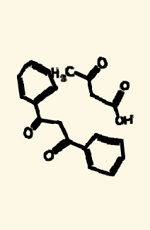 CC(=O)CC(=O)O.O=C(CC(=O)c1ccccc1)c1ccccc1